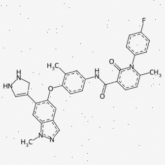 Cc1cc(NC(=O)c2ccc(C)n(-c3ccc(F)cc3)c2=O)ccc1Oc1cc2cnn(C)c2cc1C1=CNNC1